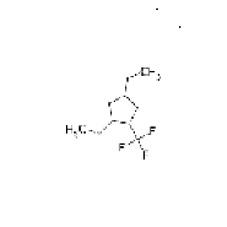 CCC1CC(CC)C(C(F)(F)F)C1